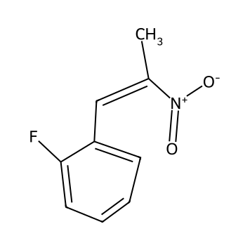 C/C(=C/c1ccccc1F)[N+](=O)[O-]